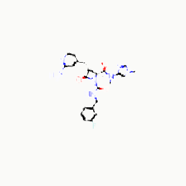 CN(C(=O)[C@@H]1[C@@H](Cc2ccnc(N)c2)C(=O)N1C(=O)NCc1cccc(F)c1)c1cn(C)cn1